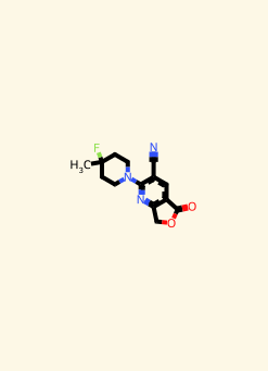 CC1(F)CCN(c2nc3c(cc2C#N)C(=O)OC3)CC1